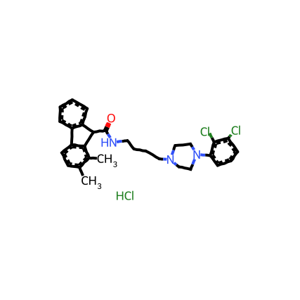 Cc1ccc2c(c1C)C(C(=O)NCCCCN1CCN(c3cccc(Cl)c3Cl)CC1)c1ccccc1-2.Cl